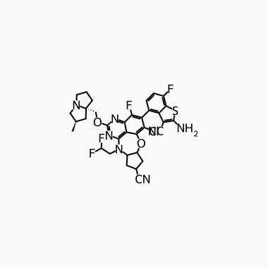 C[C@H]1CN2CCC[C@@]2(COc2nc3c4c(c(Cl)c(-c5ccc(F)c6sc(N)c(C#N)c56)c(F)c4n2)OC2CC(C#N)CC2N3CC(F)F)C1